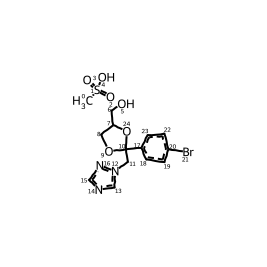 CS(=O)(=O)O.OCC1COC(Cn2cncn2)(c2ccc(Br)cc2)O1